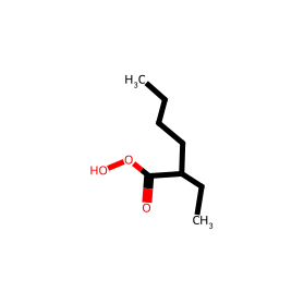 CCCCC(CC)C(=O)OO